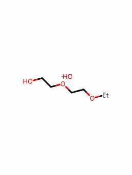 CCOCCOCCO.[OH]